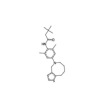 Cc1cc(N2CCCCc3sccc3C2)cc(C)c1NC(=O)CC(C)(C)C